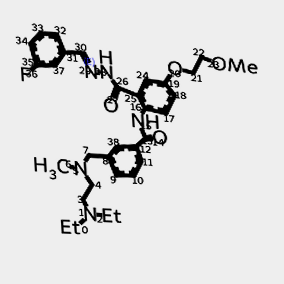 CCN(CC)CCN(C)Cc1cccc(C(=O)Nc2ccc(OCCOC)cc2C(=O)N/N=C/c2cccc(F)c2)c1